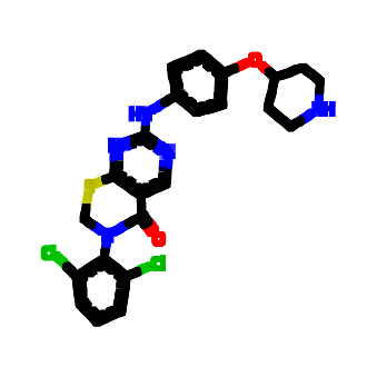 O=C1c2cnc(Nc3ccc(OC4CCNCC4)cc3)nc2SCN1c1c(Cl)cccc1Cl